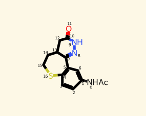 CC(=O)Nc1ccc2c(c1)C1=NNC(=O)CC1CCS2